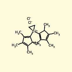 CC1=C(C)C(C)[C]([Zr+2]2([C]3=C(C)C(C)=C(C)C3C)[CH2][CH2]2)=C1C.[Cl-].[Cl-]